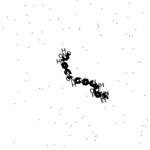 CCN(C)S(=O)(=O)Nc1ccc(F)c(C(=O)c2c[nH]c3ncc(-c4ccc(N5CCC(NCC(=O)N6CCC(c7ccc(NC8CCC(=O)NC8=O)cc7)CC6)CC5)cc4)cc23)c1F